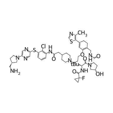 Cc1ncsc1C1=CC(OCCCN2CCC(CC(=O)Nc3cccc(Sc4cnc(N5CC[C@H](CN)C5)cn4)c3Cl)CC2)=C(CNC(=O)[C@@H]2C[C@@H](O)CN2C(=O)[C@@H](NC(=O)C2(F)CC2)C(C)(C)C)CC1